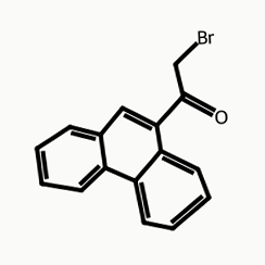 O=C(CBr)c1cc2ccccc2c2ccccc12